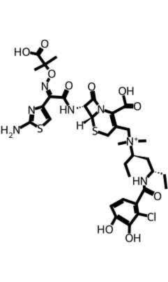 CC[C@@H](C[C@@H](CC)[N+](C)(C)CC1=C(C(=O)O)N2C(=O)[C@@H](NC(=O)/C(=N\OC(C)(C)C(=O)O)c3csc(N)n3)[C@H]2SC1)NC(=O)c1ccc(O)c(O)c1Cl